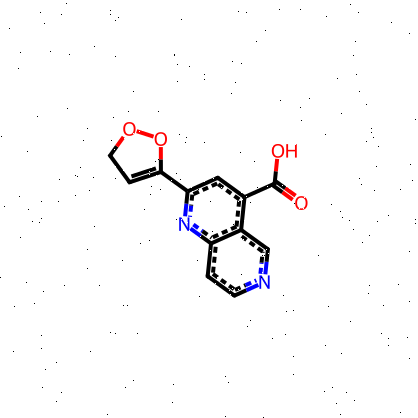 O=C(O)c1cc(C2=CCOO2)nc2ccncc12